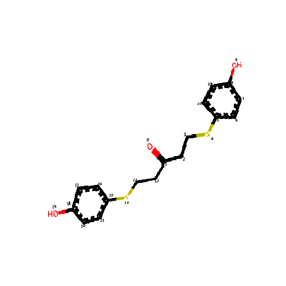 O=C(CCSc1ccc(O)cc1)CCSc1ccc(O)cc1